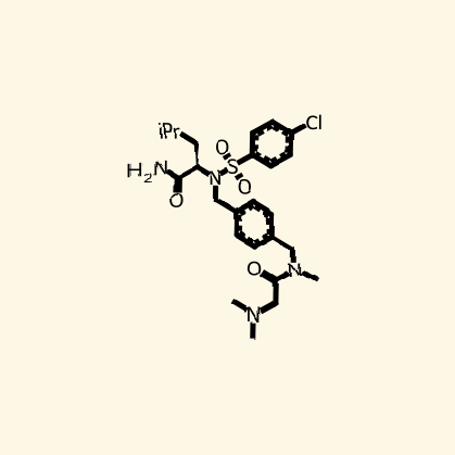 CC(C)C[C@H](C(N)=O)N(Cc1ccc(CN(C)C(=O)CN(C)C)cc1)S(=O)(=O)c1ccc(Cl)cc1